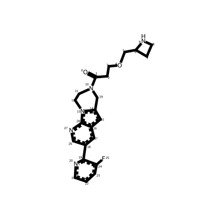 O=C(CCOCC1CCN1)N1CCn2c(cc3cc(-c4ncccc4F)cnc32)C1